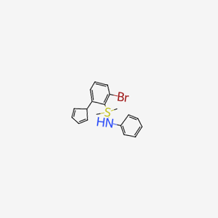 CS(C)(Nc1ccccc1)c1c(Br)cccc1C1C=CC=C1